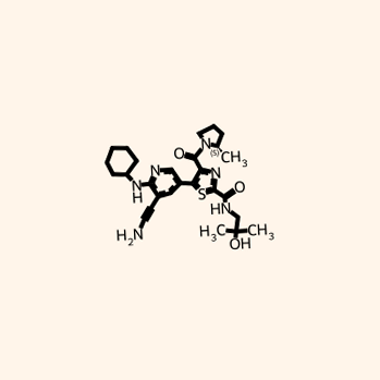 C[C@H]1CCCN1C(=O)c1nc(C(=O)NCC(C)(C)O)sc1-c1cnc(NC2CCCCC2)c(C#CN)c1